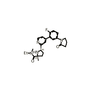 CCN(C)C(=O)[C@@]1(C)CC[C@H](c2cc(-c3cc(N4CCCC4=O)ccc3F)ccn2)N1